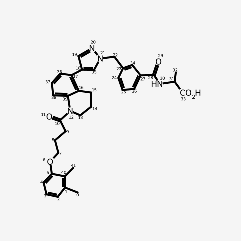 Cc1cccc(OCCCC(=O)N2CCCc3c(-c4cnn(Cc5cccc(C(=O)NC(C)C(=O)O)c5)c4)cccc32)c1C